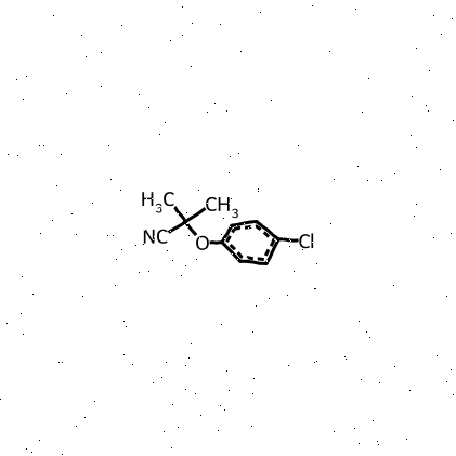 CC(C)(C#N)Oc1ccc(Cl)cc1